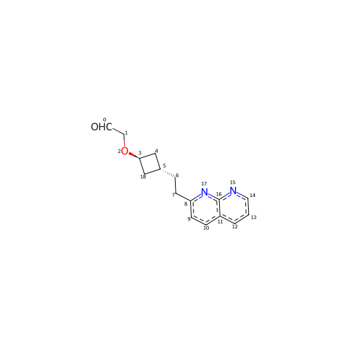 O=CCO[C@H]1C[C@H](CCc2ccc3cccnc3n2)C1